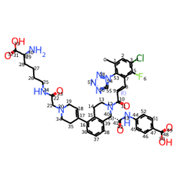 Cc1cc(Cl)c(F)c(/C=C/C(=O)N2CCc3c(C4=CCN(CC(=O)NCCCC[C@H](N)C(=O)O)CC4)cccc3[C@H]2C(=O)Nc2ccc(C(=O)O)cc2)c1-n1cnnn1